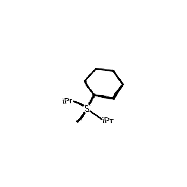 CC(C)S(C)(C(C)C)C1CCCCC1